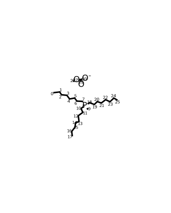 CCCCCCCC[P+](C)(CCCCCCCC)CCCCCCCC.COC(=O)[O-]